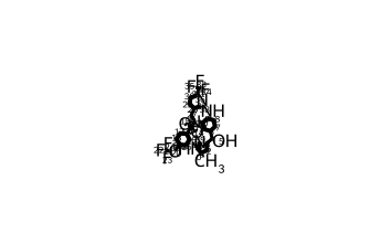 Cc1cc(C(O)c2ccc3c(c2)N(S(=O)(=O)c2ccc(OC(F)(F)F)cc2)Cc2ccc(C(F)(F)F)nc2N3)n[nH]1